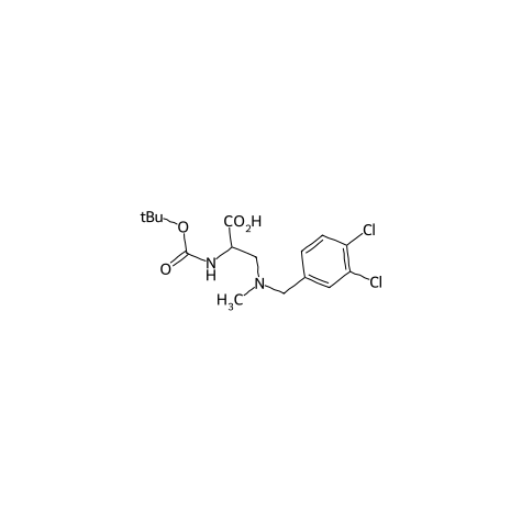 CN(Cc1ccc(Cl)c(Cl)c1)CC(NC(=O)OC(C)(C)C)C(=O)O